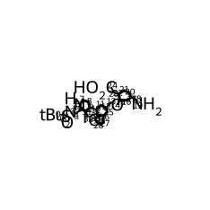 CC(C)(C)[S@+]([O-])NCc1nccc(-c2cc(COc3cc(CN)ccc3CC(=O)O)cc3ccoc23)c1F